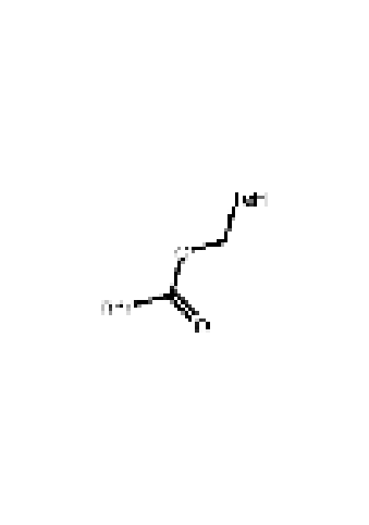 CCCC(=O)OC[TeH]